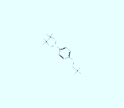 CNC(C)(C)COc1ccc(B2OC(C)(C)C(C)(C)O2)cc1